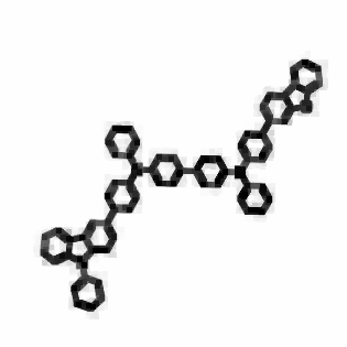 c1ccc(N(c2ccc(-c3ccc(N(c4ccccc4)c4ccc(-c5ccc6c(c5)c5ccccc5n6-c5ccccc5)cc4)cc3)cc2)c2ccc(-c3ccc4c(c3)oc3ccccc34)cc2)cc1